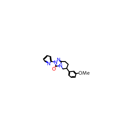 COc1cccc(C2CCc3nn(-c4ccccn4)c(=O)n3C2)c1